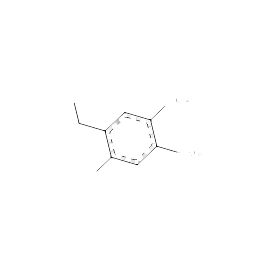 COc1cc(C=O)c(CF)cc1OC